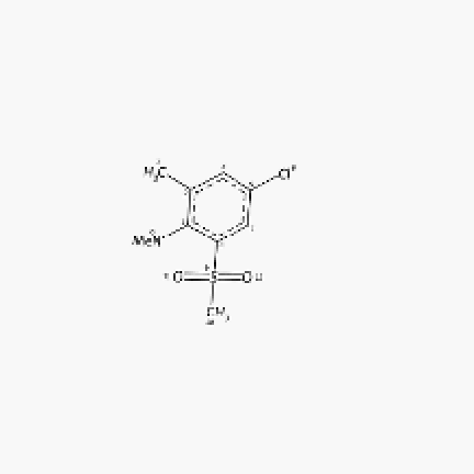 CNc1c(C)cc(Cl)cc1S(C)(=O)=O